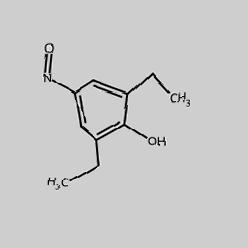 CCc1cc(N=O)cc(CC)c1O